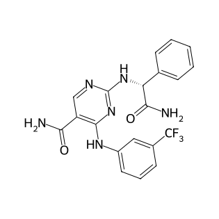 NC(=O)c1cnc(N[C@@H](C(N)=O)c2ccccc2)nc1Nc1cccc(C(F)(F)F)c1